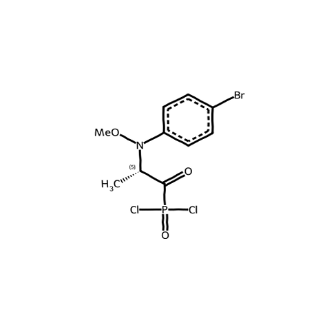 CON(c1ccc(Br)cc1)[C@@H](C)C(=O)P(=O)(Cl)Cl